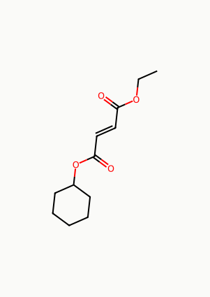 CCOC(=O)C=CC(=O)OC1CCCCC1